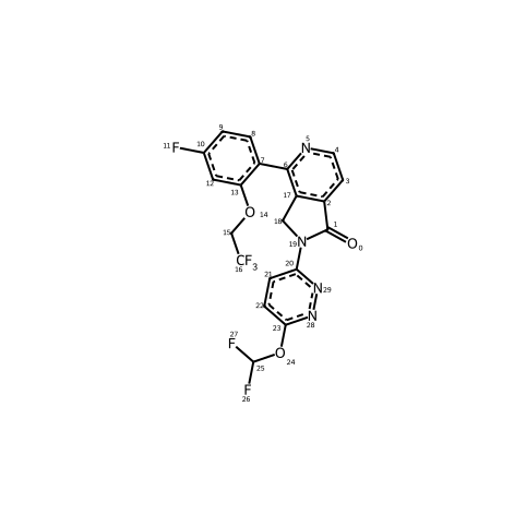 O=C1c2ccnc(-c3ccc(F)cc3OCC(F)(F)F)c2CN1c1ccc(OC(F)F)nn1